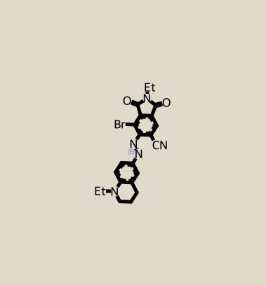 CCN1C(=O)c2cc(C#N)c(/N=N/c3ccc4c(c3)CCCN4CC)c(Br)c2C1=O